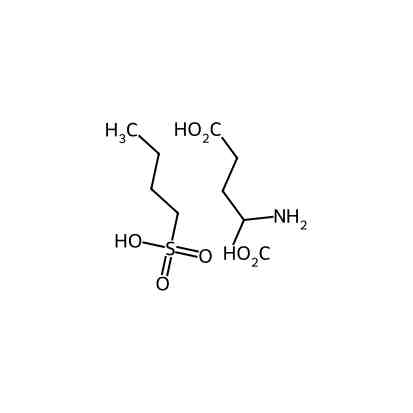 CCCCS(=O)(=O)O.NC(CCC(=O)O)C(=O)O